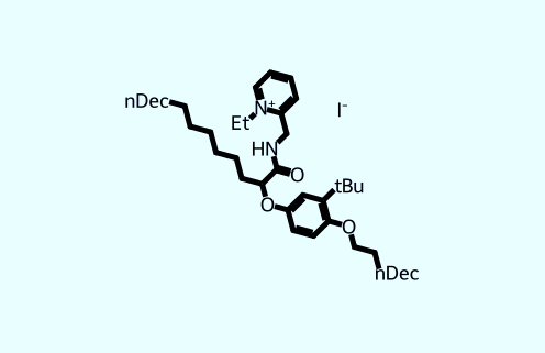 CCCCCCCCCCCCCCCCC(Oc1ccc(OCCCCCCCCCCCC)c(C(C)(C)C)c1)C(=O)NCc1cccc[n+]1CC.[I-]